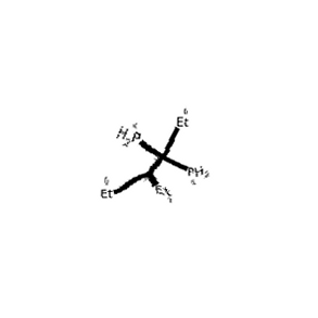 CCC(CC)C(P)(P)CC